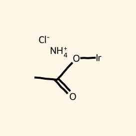 CC(=O)[O][Ir].[Cl-].[NH4+]